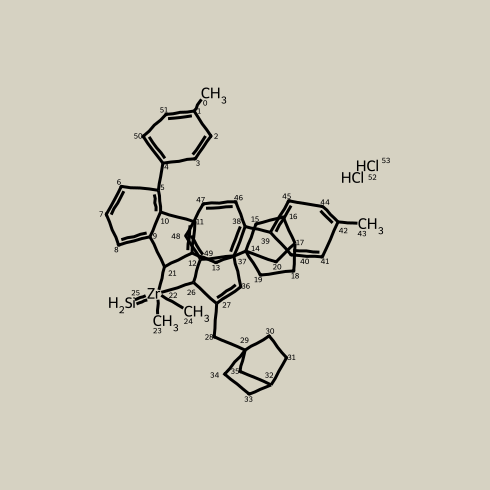 Cc1ccc(-c2cccc3c2C=C(CC24CCC(CC2)C4)[CH]3[Zr]([CH3])([CH3])(=[SiH2])[CH]2C(CC34CCC(CC3)C4)=Cc3c(-c4ccc(C)cc4)cccc32)cc1.Cl.Cl